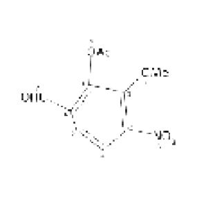 COc1c([N+](=O)[O-])ccc(C=O)c1OC(C)=O